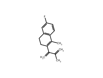 C=C(C)C(=C)C1=C(C)c2ccc(F)cc2CC1